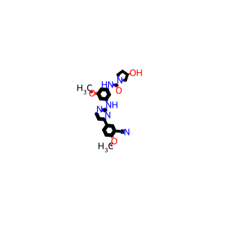 COc1cc(NC(=O)N2CC[C@@H](O)C2)cc(Nc2nccc(-c3ccc(OC)c(C#N)c3)n2)c1